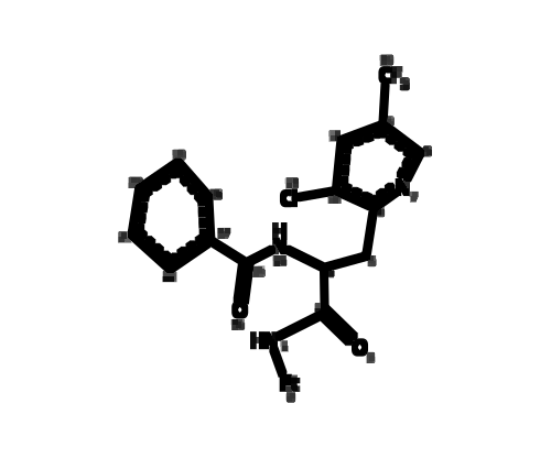 CCNC(=O)C(Cc1ncc(C(F)(F)F)cc1Cl)NC(=O)c1ccccc1